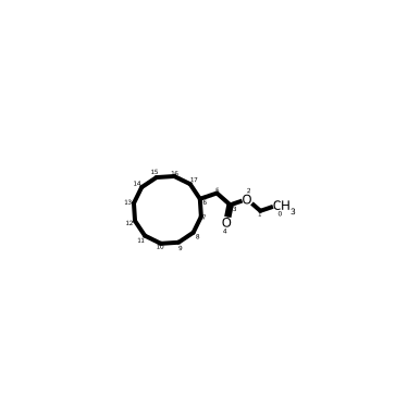 CCOC(=O)CC1CCCCCCCCCCC1